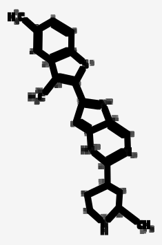 Cc1ccc2sc(-c3cc4[nH]c(C5CCNC(C)C5)ncc-4n3)c(C)c2c1